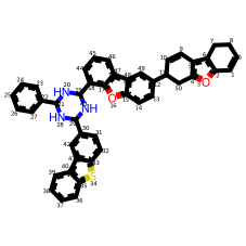 C1=Cc2oc3c(c2CC1)C=CC(c1ccc2oc4c(C5NC(c6ccccc6)NC(c6ccc7sc8ccccc8c7c6)N5)cccc4c2c1)C3